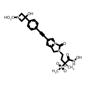 C[C@@](CCN1Cc2cc(C#Cc3ccc(C4(O)CN(C(=O)O)C4)cc3)cn2C1=O)(C(=O)NO)S(C)(=O)=O